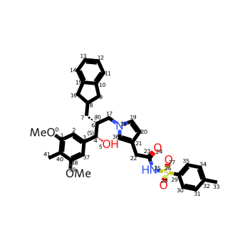 COc1cc([C@@H](O)[C@H](CC2Cc3ccccc3C2)Cn2ccc(CC(=O)NS(=O)(=O)c3ccc(C)cc3)c2)cc(OC)c1C